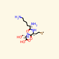 CSCC[C@H](NC(=O)[C@@H](N)CCCCN)C(=O)N[C@@H](CO)C(=O)O